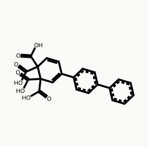 O=C(O)C1(C(=O)O)C=CC(c2ccc(-c3ccccc3)cc2)=CC1(C(=O)O)C(=O)O